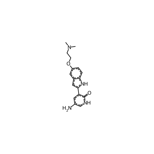 CN(C)CCOc1ccc2[nH]c(-c3cc(N)c[nH]c3=O)cc2c1